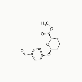 COC(=O)[C@H]1[CH][CH][CH][C@@H](Oc2ccc(C=O)cc2)O1